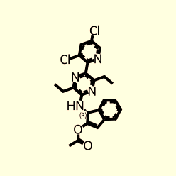 CCc1nc(-c2ncc(Cl)cc2Cl)c(CC)nc1N[C@H]1C(OC(C)=O)=Cc2ccccc21